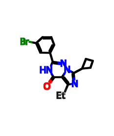 CCc1nc(C2CCC2)n2nc(-c3cccc(Br)c3)[nH]c(=O)c12